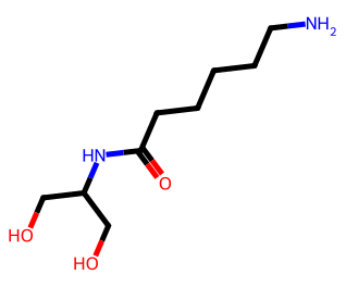 NCCCCCC(=O)NC(CO)CO